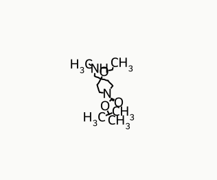 CCOC1(CNC)CCN(C(=O)OC(C)(C)C)CC1